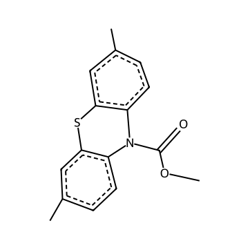 COC(=O)N1c2ccc(C)cc2Sc2cc(C)ccc21